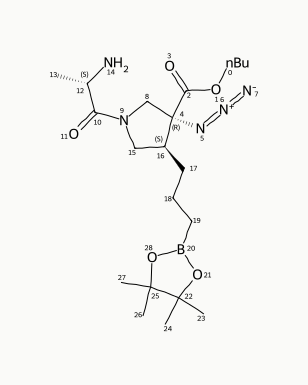 CCCCOC(=O)[C@]1(N=[N+]=[N-])CN(C(=O)[C@H](C)N)C[C@@H]1CCCB1OC(C)(C)C(C)(C)O1